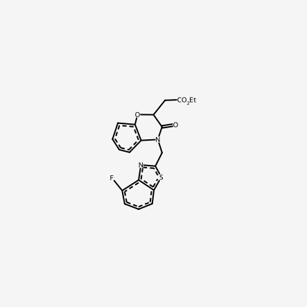 CCOC(=O)CC1Oc2ccccc2N(Cc2nc3c(F)cccc3s2)C1=O